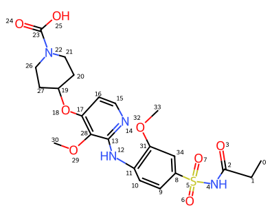 CCC(=O)NS(=O)(=O)c1ccc(Nc2nccc(OC3CCN(C(=O)O)CC3)c2OC)c(OC)c1